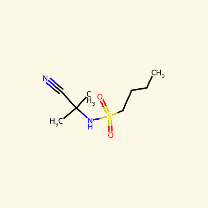 CCCCS(=O)(=O)NC(C)(C)C#N